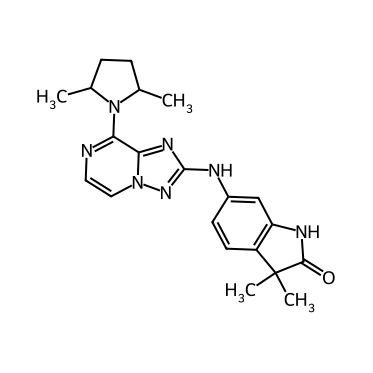 CC1CCC(C)N1c1nccn2nc(Nc3ccc4c(c3)NC(=O)C4(C)C)nc12